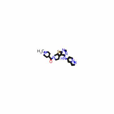 CN1CCC(C(=O)N2CCc3c(sc4ncnc(Nc5ccn6nccc6c5)c34)C2)CC1